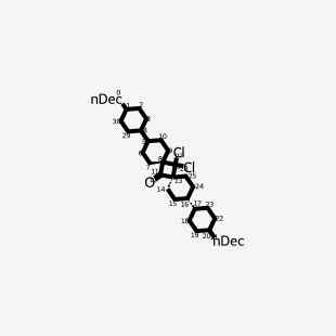 CCCCCCCCCCC1CCC(C2CC[C@]3(CC2)C(=O)[C@@]2(CC[C@@H](C4CCC(CCCCCCCCCC)CC4)CC2)C3(Cl)Cl)CC1